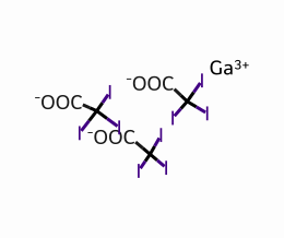 O=C([O-])C(I)(I)I.O=C([O-])C(I)(I)I.O=C([O-])C(I)(I)I.[Ga+3]